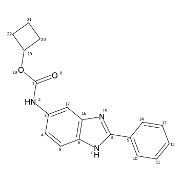 O=C(Nc1ccc2[nH]c(-c3ccccc3)nc2c1)OC1CCC1